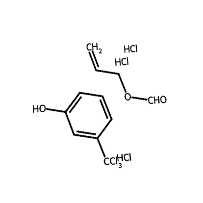 C=CCOC=O.Cl.Cl.Cl.Oc1cccc(C(Cl)(Cl)Cl)c1